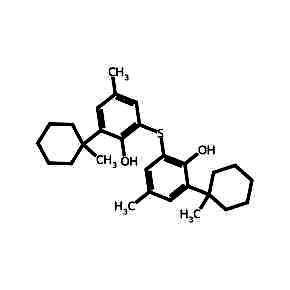 Cc1cc(Sc2cc(C)cc(C3(C)CCCCC3)c2O)c(O)c(C2(C)CCCCC2)c1